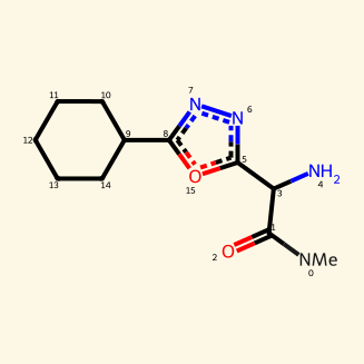 CNC(=O)C(N)c1nnc(C2CCCCC2)o1